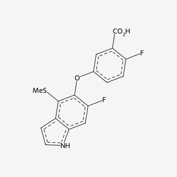 CSc1c(Oc2ccc(F)c(C(=O)O)c2)c(F)cc2[nH]ccc12